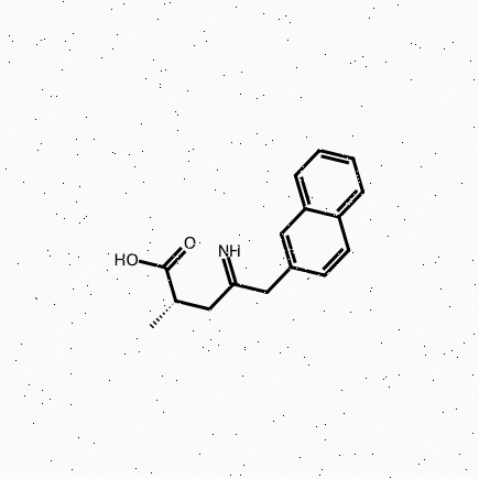 C[C@@H](CC(=N)Cc1ccc2ccccc2c1)C(=O)O